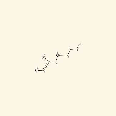 CCCCOCC(Br)=CBr